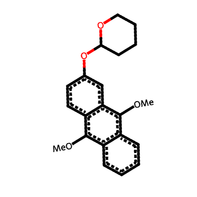 COc1c2ccccc2c(OC)c2cc(OC3CCCCO3)ccc12